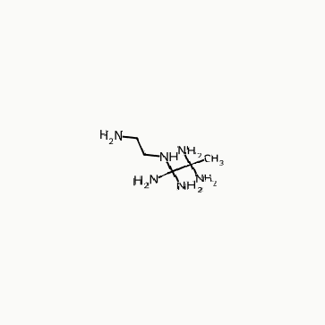 CC(N)(N)C(N)(N)NCCN